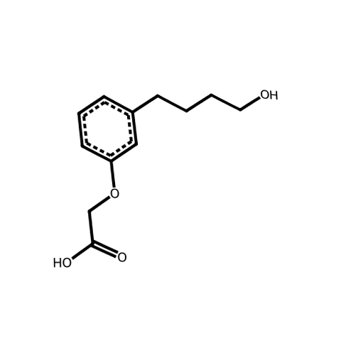 O=C(O)COc1cccc(CCCCO)c1